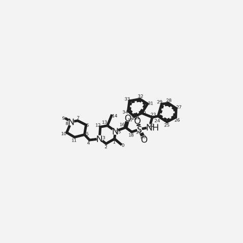 CC1CN(CC2CCN(C)CC2)CC(C)N1C(=O)CS(=O)(=O)NC(c1ccccc1)c1ccccc1